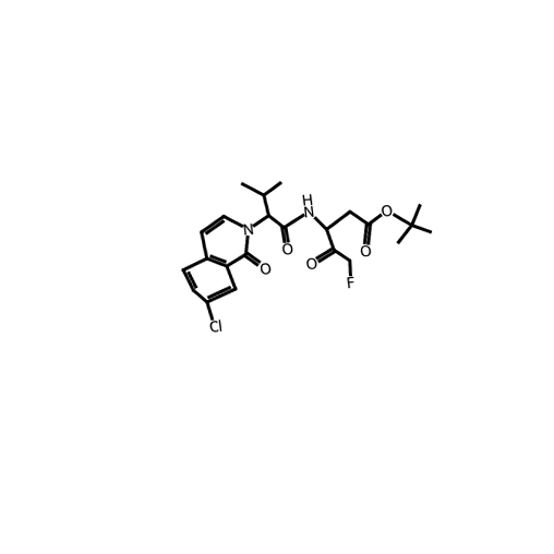 CC(C)C(C(=O)NC(CC(=O)OC(C)(C)C)C(=O)CF)n1ccc2ccc(Cl)cc2c1=O